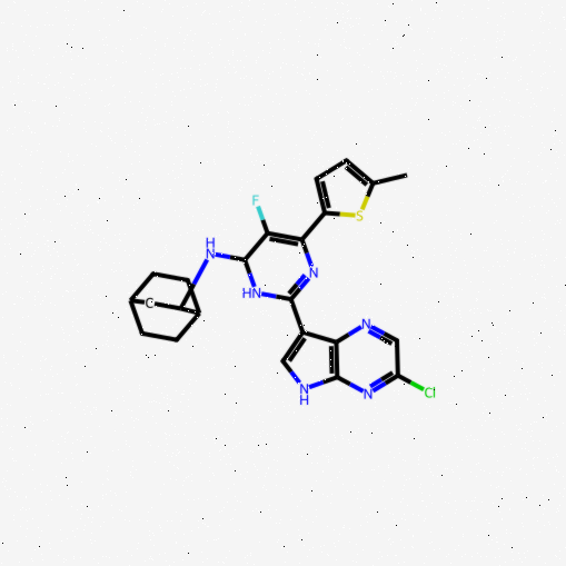 Cc1ccc(C2=C(F)C(NC3CC4CCC3CC4)NC(c3c[nH]c4nc(Cl)cnc34)=N2)s1